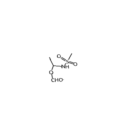 CC(NS(C)(=O)=O)O[C]=O